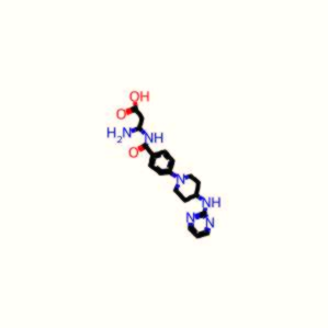 NC(CC(=O)O)NC(=O)c1ccc(N2CCC(Nc3ncccn3)CC2)cc1